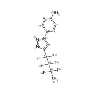 Nc1ccc(-n2cc(C(F)(F)C(F)(F)C(F)(F)C(F)(F)F)nn2)cc1